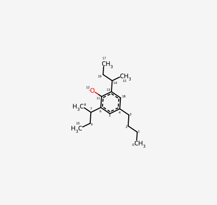 CCCCc1cc(C(C)CC)c([O])c(C(C)CC)c1